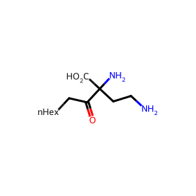 CCCCCCCC(=O)C(N)(CCN)C(=O)O